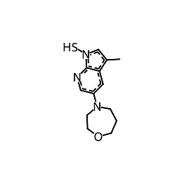 Cc1cn(S)c2ncc(N3CCCOCC3)cc12